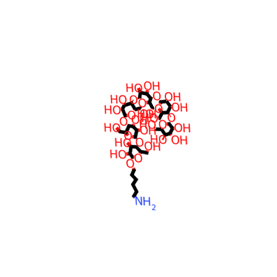 NCCCCCCO[C@@H]1OC(CO)[C@@H](O[C@H]2OC(CO)[C@H](O[C@H]3OC(CO)[C@@H](O[C@@H]4OC(CO)[C@@H](O[C@@H]5OC(CO)[C@@H](O[C@H]6OC(CO)[C@H](O)C(O)C6O)C(O)C5O)C(O)C4O)C(O)C3O)C(O)C2O)C(O)C1O